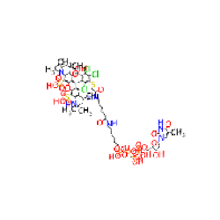 Cc1cn([C@H]2CC(O)[C@@H](COP(=O)(O)OP(=O)(O)CP(=O)(O)OP(=O)(O)OCCCCCCNC(=O)CCCCCNC(=O)CSc3c(Cl)c(Cl)c(C(=O)O)c(C4=c5cc6c(c(S(=O)(=O)O)c5Oc5c4cc4c(c5S(=O)(=O)O)NC(C)(C)CC4C)=NC(C)(C)CC6C)c3Cl)O2)c(=O)[nH]c1=O